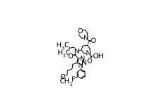 COCCCCc1c(C(=O)N(CC(C)C)[C@H]2C[C@@H](C(=O)N3CCOCC3)CN(C(=O)O)C2)nnn1-c1cccc(F)c1